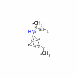 CCC1=C2CC23C(NC(C)C)C13